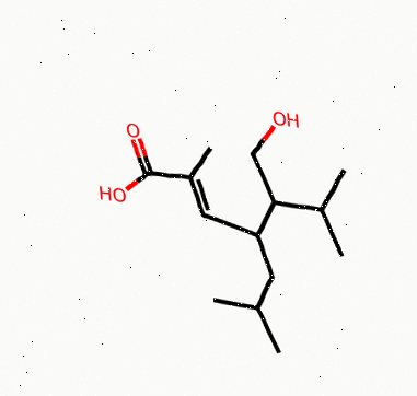 CC(=CC(CC(C)C)C(CO)C(C)C)C(=O)O